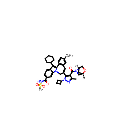 COc1ccc2c(c1)C=C(c1c(C(=O)N3C[C@@H]4C[C@H]3CO4)c(C)nn1C1CCC1)Cn1c-2c(C2CCCCC2)c2ccc(C(=O)NS(=O)(=O)C(C)C)cc21